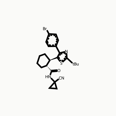 CC(C)(C)c1nc(-c2ccc(Br)cc2)c([C@@H]2CCCC[C@H]2C(=O)NC2(C#N)CC2)s1